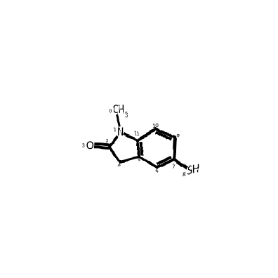 CN1C(=O)Cc2cc(S)ccc21